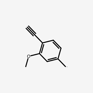 C#Cc1ccc([CH2])cc1OC